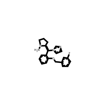 NN1CCCC1=C(c1ccccc1OCc1cccc(F)c1)n1ccnc1